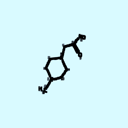 CN1CCN(CC(=O)N=O)CC1